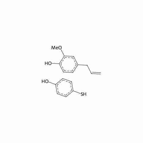 C=CCc1ccc(O)c(OC)c1.Oc1ccc(S)cc1